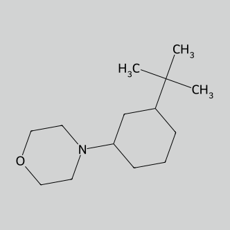 CC(C)(C)C1CCCC(N2CCOCC2)C1